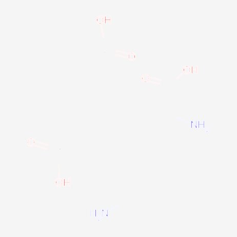 NCCCCC(N)C(=O)O.O=C(O)CCCCC(=O)O